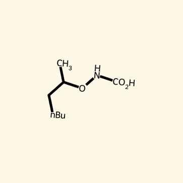 CCCCCC(C)ONC(=O)O